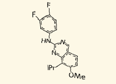 COc1ccc2cnc(Nc3ccc(F)c(F)c3)nc2c1C(C)C